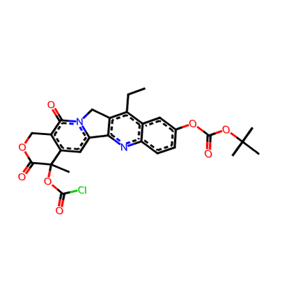 CCc1c2c(nc3ccc(OC(=O)OC(C)(C)C)cc13)-c1cc3c(c(=O)n1C2)COC(=O)C3(C)OC(=O)Cl